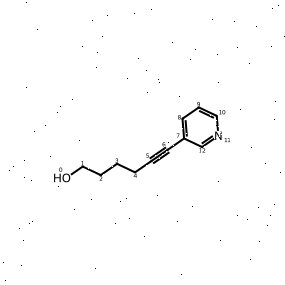 OCCCCC#Cc1cccnc1